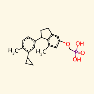 Cc1ccc(C2CCc3cc(OCP(=O)(O)O)cc(C)c32)cc1C1CC1